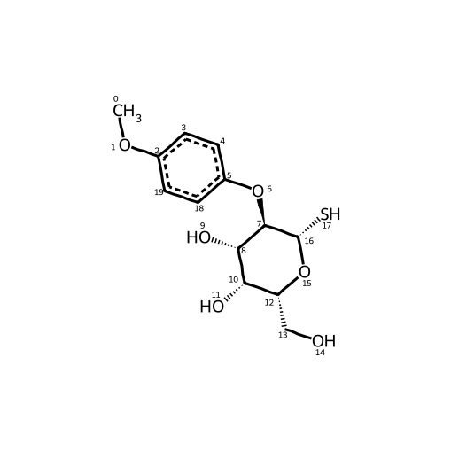 COc1ccc(O[C@@H]2[C@@H](O)[C@@H](O)[C@@H](CO)O[C@H]2S)cc1